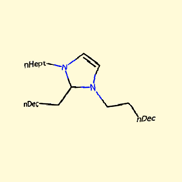 CCCCCCCCCCCCN1C=CN(CCCCCCC)C1CCCCCCCCCCC